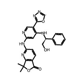 CC1(C)OC(=O)c2ccc(Nc3cc(N[C@H](CO)c4ccccc4)c(-c4nn[c]o4)cn3)nc21